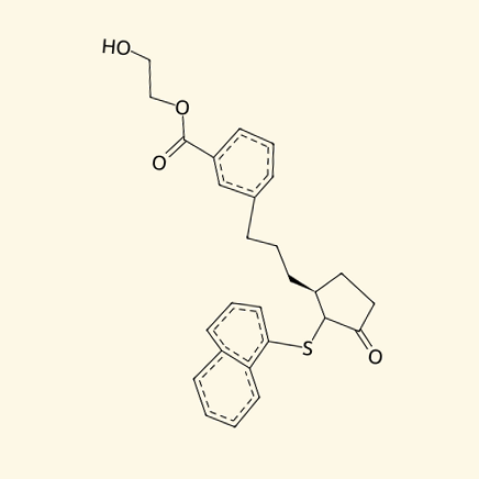 O=C(OCCO)c1cccc(CCC[C@H]2CCC(=O)C2Sc2cccc3ccccc23)c1